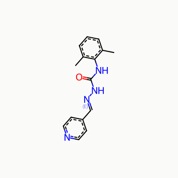 Cc1cccc(C)c1NC(=O)N/N=C/c1ccncc1